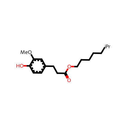 COc1cc(CCC(=O)OCCCCCC(C)C)ccc1O